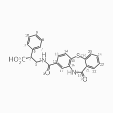 O=C(NC[C@@H](C(=O)O)c1ccccc1)c1ccc2c(c1)NC(=O)c1ccccc1S2